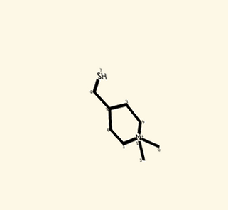 C[N+]1(C)CCC(CS)CC1